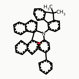 CC1(C)c2ccccc2-c2c(N(c3ccc(-c4ccccc4)cc3)c3ccc4ccccc4c3-c3cccc4ccccc34)cccc21